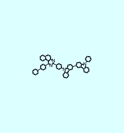 c1ccc(-c2ccc(-c3nc(-c4ccc(-n5c6ccccc6c6cc(-c7ccc8c(c7)c7ccccc7n8-c7ccccc7)ccc65)cc4)nc4ccc5ccccc5c34)cc2)cc1